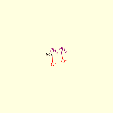 [Ir+2].[O-]P.[O-]P